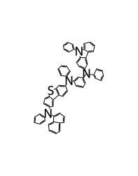 c1ccc(N(c2cccc(N(c3ccccc3)c3ccc4c(c3)c3ccccc3n4-c3ccccc3)c2)c2ccc3c(c2)sc2ccc(N(c4ccccc4)c4cccc5ccccc45)cc23)cc1